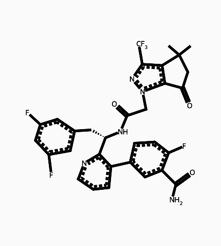 CC1(C)CC(=O)c2c1c(C(F)(F)F)nn2CC(=O)N[C@@H](Cc1cc(F)cc(F)c1)c1ncccc1-c1ccc(F)c(C(N)=O)c1